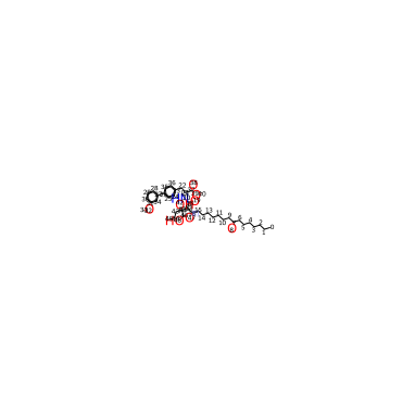 CCCCCCCC(=O)CCCCCC/C=C/[C@H](C(=O)N[C@@H](Cc1ccc(-c2cccc(OC)c2)cc1)C(=O)OC)[C@@](O)(CCC)C(=O)O